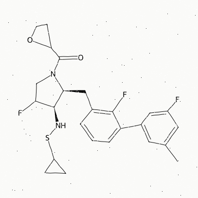 Cc1cc(F)cc(-c2cccc(C[C@H]3[C@@H](NSC4CC4)C(F)CN3C(=O)C3CCO3)c2F)c1